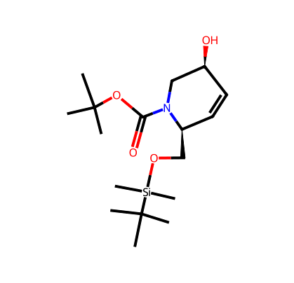 CC(C)(C)OC(=O)N1C[C@@H](O)C=C[C@H]1CO[Si](C)(C)C(C)(C)C